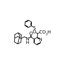 O=C(NCC12CC3CC(CC(C3)C1)C2)c1cccnc1C(OSc1ccccc1)C(=O)O